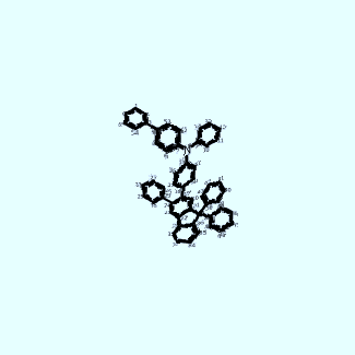 c1ccc(-c2ccc(N(c3ccccc3)c3ccc(-c4cc5c(cc4-c4ccccc4)-c4ccccc4C5(c4ccccc4)c4ccccc4)cc3)cc2)cc1